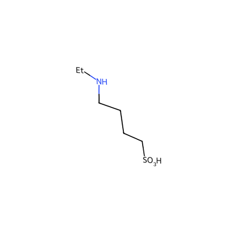 [CH2]CNCCCCS(=O)(=O)O